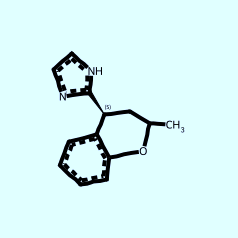 CC1C[C@H](c2ncc[nH]2)c2ccccc2O1